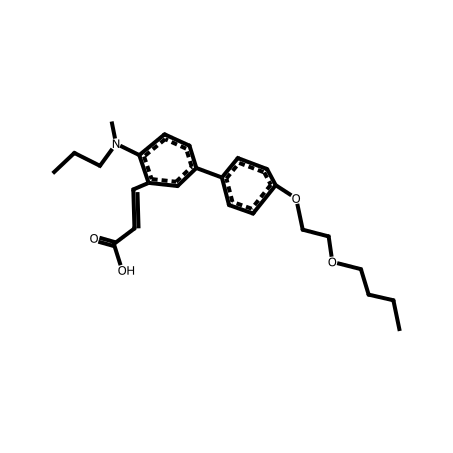 CCCCOCCOc1ccc(-c2ccc(N(C)CCC)c(C=CC(=O)O)c2)cc1